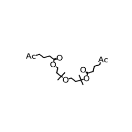 CC(=O)CCCC(=O)OCCC(C)(C)OCCC(C)(C)OC(=O)CCCC(C)=O